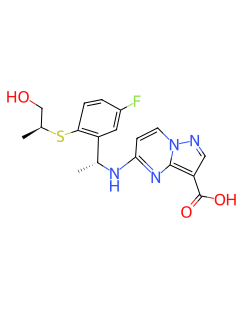 C[C@@H](CO)Sc1ccc(F)cc1[C@@H](C)Nc1ccn2ncc(C(=O)O)c2n1